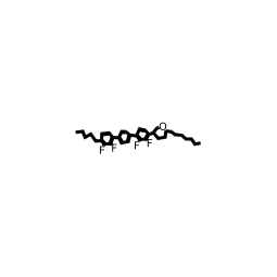 CCCCCCCC1CCC(c2ccc(-c3ccc(-c4ccc(CCCCC)c(F)c4F)cc3)c(F)c2F)CO1